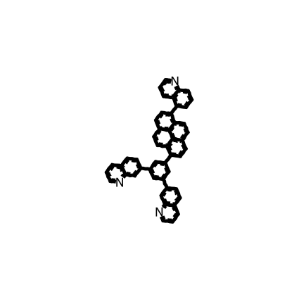 c1cnc2cc(-c3cc(-c4ccc5cccnc5c4)cc(-c4ccc5ccc6c(-c7cccc8ncccc78)ccc7ccc4c5c76)c3)ccc2c1